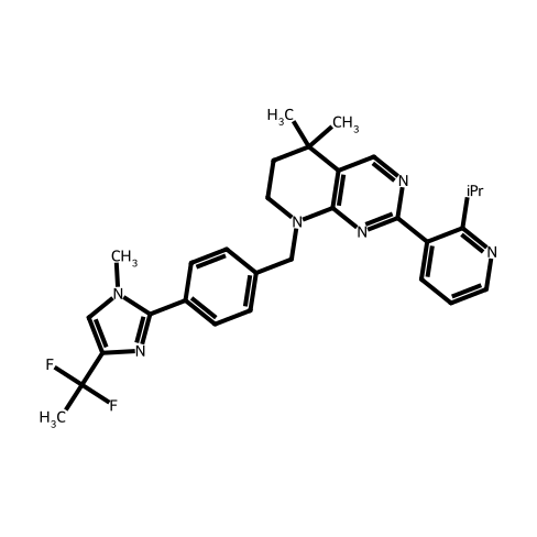 CC(C)c1ncccc1-c1ncc2c(n1)N(Cc1ccc(-c3nc(C(C)(F)F)cn3C)cc1)CCC2(C)C